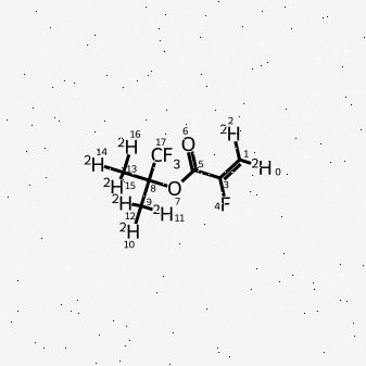 [2H]C([2H])=C(F)C(=O)OC(C([2H])([2H])[2H])(C([2H])([2H])[2H])C(F)(F)F